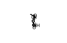 CCCCS(=O)(=O)N(C)C1Cc2ccc(-c3ccc(=O)[nH]n3)cc2C1